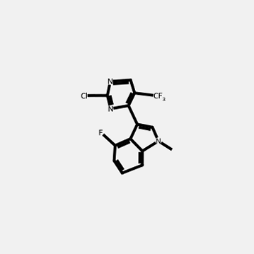 Cn1cc(-c2nc(Cl)ncc2C(F)(F)F)c2c(F)cccc21